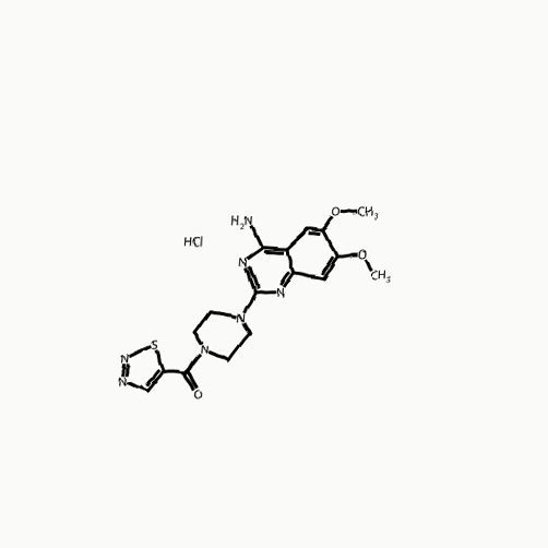 COc1cc2nc(N3CCN(C(=O)c4cnns4)CC3)nc(N)c2cc1OC.Cl